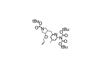 C=CCOC1CN(C(=O)OC(C)(C)C)CC1Cc1cc(C)cc(N(C(=O)OC(C)(C)C)C(=O)OC(C)(C)C)n1